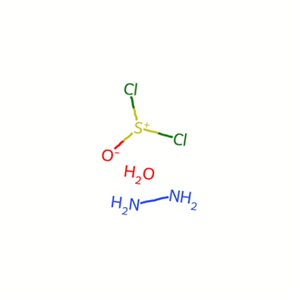 NN.O.[O-][S+](Cl)Cl